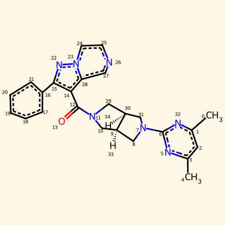 Cc1cc(C)nc(N2C[C@H]3CN(C(=O)c4c(-c5ccccc5)nn5ccncc45)C[C@H]3C2)n1